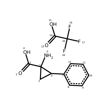 NC1(C(=O)O)CC1c1ccccc1.O=C(O)C(F)(F)F